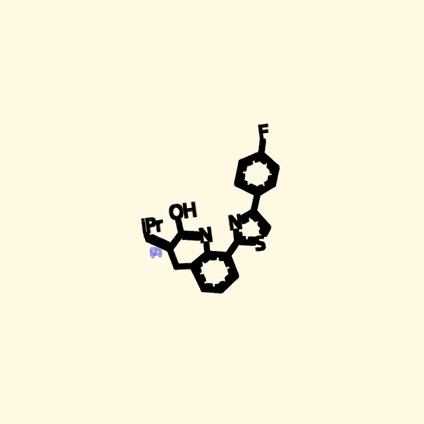 CC(C)/C=C1/Cc2cccc(-c3nc(-c4ccc(F)cc4)cs3)c2N=C1O